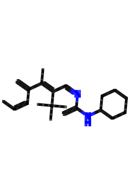 C=C(/N=C\C(=C(/C)C(=C)/C=C\C)C(C)(C)C)NC1CCCCC1